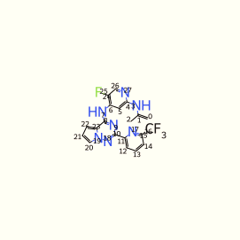 C=C(C)Nc1cc(Nc2nc(-c3cccc(C(F)(F)F)n3)nn3cccc23)c(F)cn1